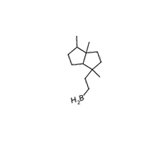 BCCC1(C)CCC2(C)C(C)CCC12